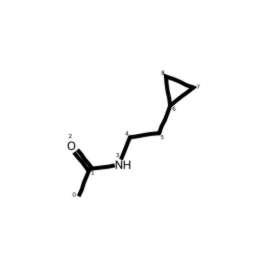 CC(=O)NCCC1CC1